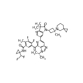 Cc1c(C(=O)NC2(C(F)F)CC2)cc(Nc2nc(-c3cnc4c(c3)N([C@H]3C[C@@](C)(N5CCCC6(CC6)C5)C3)C(=O)C4(C)C)cc3ncn(C(C)C)c23)c(F)c1F